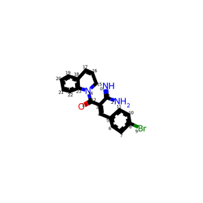 N=C(N)C(=Cc1ccc(Br)cc1)C(=O)N1CC=Cc2ccccc21